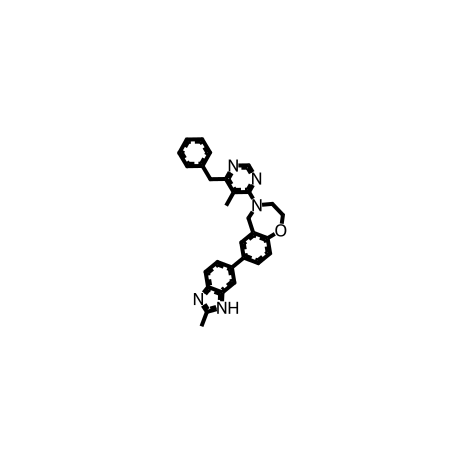 Cc1nc2ccc(-c3ccc4c(c3)CN(c3ncnc(Cc5ccccc5)c3C)CCO4)cc2[nH]1